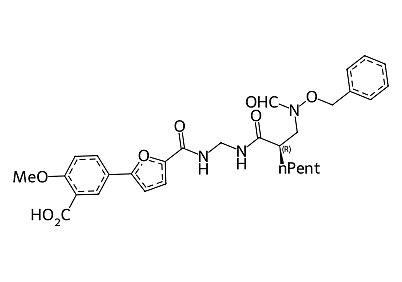 CCCCC[C@H](CN(C=O)OCc1ccccc1)C(=O)NCNC(=O)c1ccc(-c2ccc(OC)c(C(=O)O)c2)o1